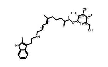 C/C(=C\C=C\CNCCc1c(C)[nH]c2ccccc12)CCCC(=O)NO[C@@H]1O[C@H](CO)[C@H](F)[C@H](O)[C@H]1O